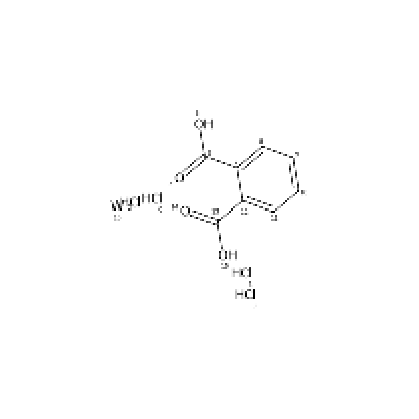 Cl.Cl.Cl.Cl.O=C(O)c1ccccc1C(=O)O.[W]